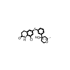 C[C@H]1C[C@@](O)(c2cccc(Sc3cc(Cl)c4c(c3)CCC(=O)N4)c2)CCO1